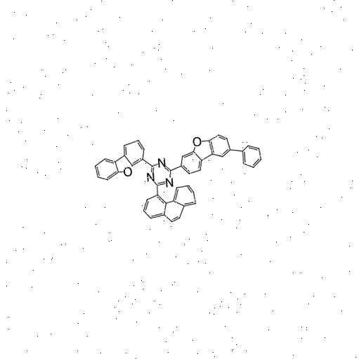 c1ccc(-c2ccc3oc4cc(-c5nc(-c6cccc7c6oc6ccccc67)nc(-c6cccc7ccc8ccccc8c67)n5)ccc4c3c2)cc1